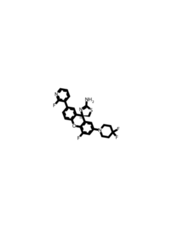 NC1=N[C@@]2(CS1)c1cc(-c3cccnc3F)ccc1Oc1c(F)cc(N3CCC(F)(F)CC3)cc12